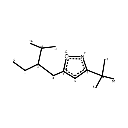 CCC(Cc1cc(C(C)(C)C)no1)C(C)C